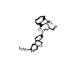 CC(=O)Nc1cc2c(cn1)OCc1cc(OC[C@H](CC(C)C)N3C(=O)c4ccccc4C3=O)ccc1-2